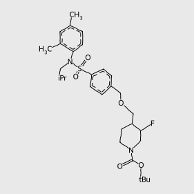 Cc1ccc(N(CC(C)C)S(=O)(=O)c2ccc(COCC3CCN(C(=O)OC(C)(C)C)CC3F)cc2)c(C)c1